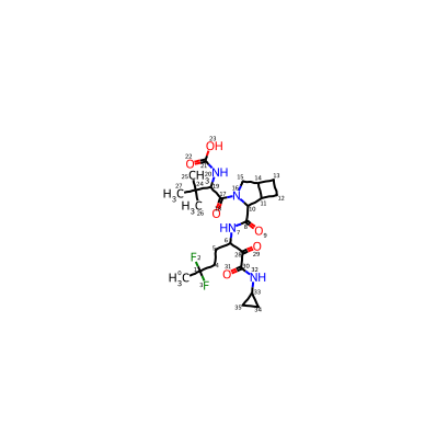 CC(F)(F)CCC(NC(=O)C1C2CCC2CN1C(=O)C(NC(=O)O)C(C)(C)C)C(=O)C(=O)NC1CC1